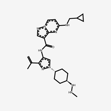 C=C(C)c1nn([C@H]2CC[C@H](NNC)CC2)cc1NC(=O)c1cnn2ccc(NCC3CC3)nc12